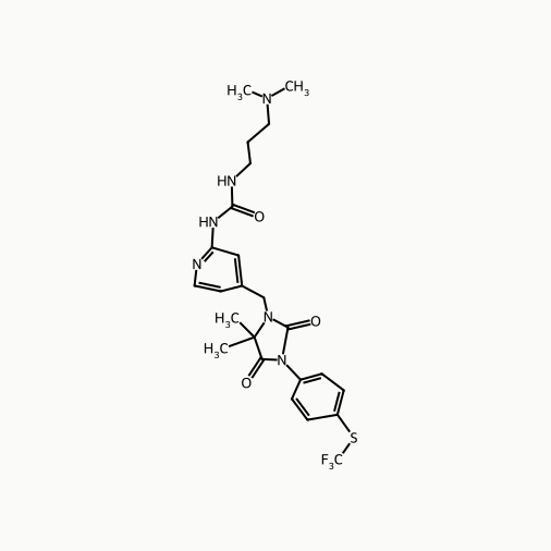 CN(C)CCCNC(=O)Nc1cc(CN2C(=O)N(c3ccc(SC(F)(F)F)cc3)C(=O)C2(C)C)ccn1